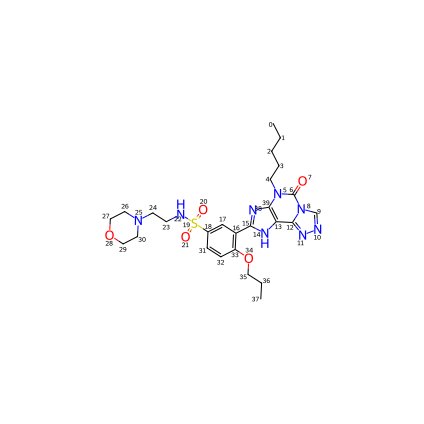 CCCCCn1c(=O)n2cnnc2c2[nH]c(-c3cc(S(=O)(=O)NCCN4CCOCC4)ccc3OCCC)nc21